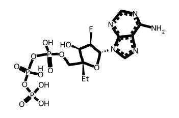 CC[C@]1(COP(=O)(O)OP(=O)(O)OP(=O)(O)O)O[C@@H](n2cnc3c(N)ncnc32)[C@H](F)[C@@H]1O